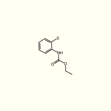 CCOC(=O)Nc1ccccc1[S]